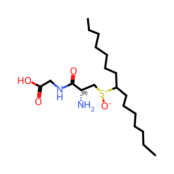 CCCCCCCC(CCCCCCC)[S+]([O-])C[C@H](N)C(=O)NCC(=O)O